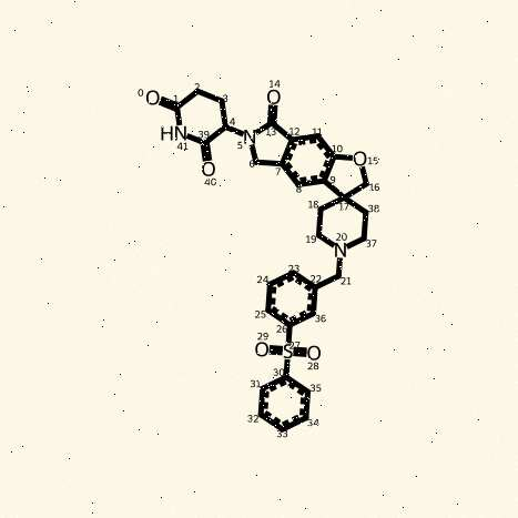 O=C1CCC(N2Cc3cc4c(cc3C2=O)OCC42CCN(Cc3cccc(S(=O)(=O)c4ccccc4)c3)CC2)C(=O)N1